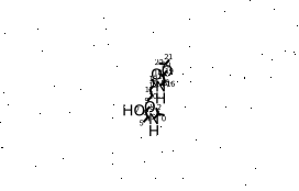 CC(C)NC(C)C(O)OCCCC(C)N[C@@H](C)C(=O)OC(C)C